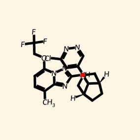 Cc1ccc(OCC(F)(F)F)n2nc(NC3[C@@H]4CC[C@H]3CN(c3cnnc(Cl)c3)C4)nc12